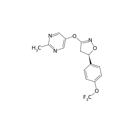 Cc1ncc(OC2=NO[C@@H](c3ccc(OC(F)(F)F)cc3)C2)cn1